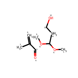 C=C(C)C=O.COC(OC)[SiH2]CO